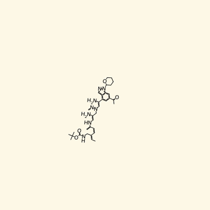 C=NN(/C=C(\N)c1cc(C(C)=O)cc2c1cnn2C1CCCCO1)C/C(N)=C/NC(=C)/C=C\C(=C/C)CNC(=O)OC(C)(C)C